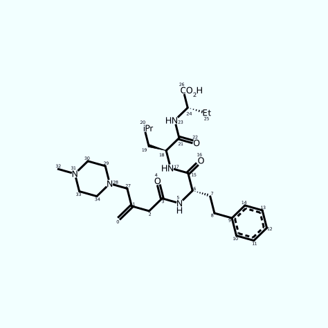 C=C(CC(=O)N[C@@H](CCc1ccccc1)C(=O)N[C@@H](CC(C)C)C(=O)N[C@@H](CC)C(=O)O)CN1CCN(C)CC1